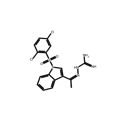 C/C(=N/NC(=N)N)c1cn(S(=O)(=O)c2cc(Cl)ccc2Cl)c2ccccc12